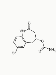 NC(=O)OC1CC(=O)Nc2ccc(Br)cc2C1